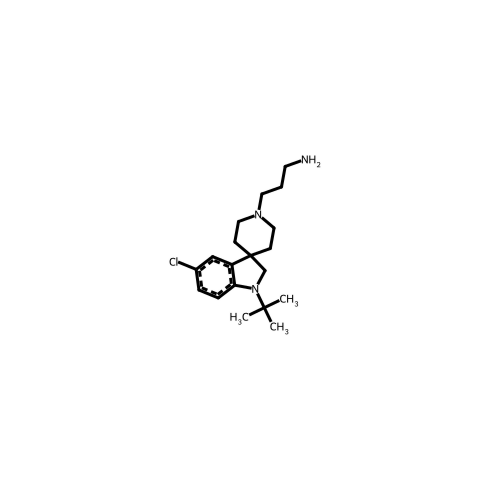 CC(C)(C)N1CC2(CCN(CCCN)CC2)c2cc(Cl)ccc21